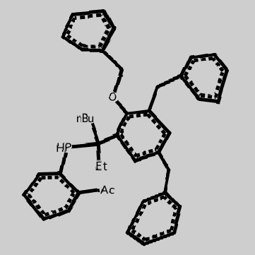 CCCCC(CC)(Pc1ccccc1C(C)=O)c1cc(Cc2ccccc2)cc(Cc2ccccc2)c1OCc1ccccc1